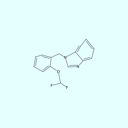 FC(F)Oc1ccccc1Cn1cnc2ccccc21